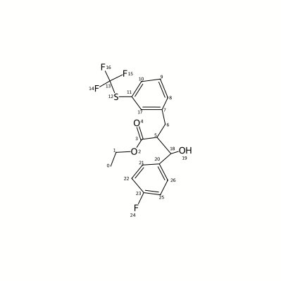 CCOC(=O)C(Cc1cccc(SC(F)(F)F)c1)C(O)c1ccc(F)cc1